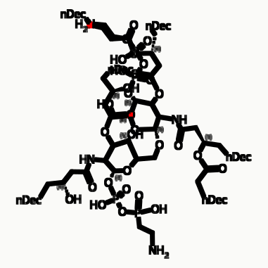 CCCCCCCCCCCCCC(=O)O[C@H](CCCCCCCCCCC)CC(=O)OC1C(NC(=O)C[C@@H](CCCCCCCCCCC)OC(=O)CCCCCCCCCCC)[C@H](OCC2O[C@H](OP(=O)(O)OP(=O)(O)CCN)C(NC(=O)C[C@H](O)CCCCCCCCCCC)C(OC(=O)C[C@H](O)CCCCCCCCCCC)[C@@H]2O)O[C@H](CO)[C@H]1OP(=O)(O)OP(=O)(O)OCCN